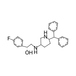 O[C@@H](CNC1CCC(C(c2ccccc2)c2ccccc2)NC1)c1ccc(F)cc1